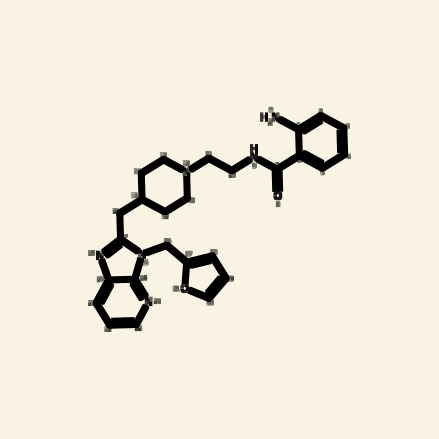 Nc1ccccc1C(=O)NCCN1CCC(Cc2nc3cccnc3n2Cc2ccco2)CC1